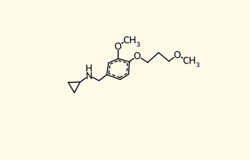 COCCCOc1ccc(CNC2CC2)cc1OC